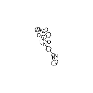 COc1cccc(C2C(=O)N(c3ccc(-c4cnn(C5CCCCO5)c4)cc3)CCCN2C(=O)OCc2ccccc2)c1